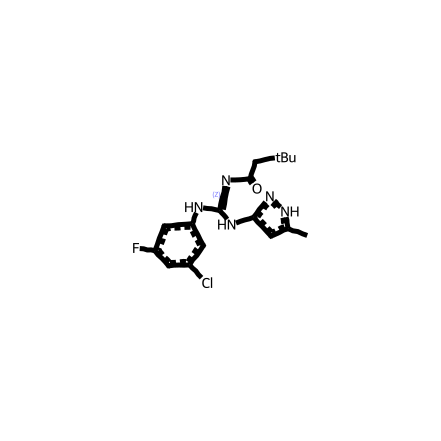 Cc1cc(N/C(=N\C(=O)CC(C)(C)C)Nc2cc(F)cc(Cl)c2)n[nH]1